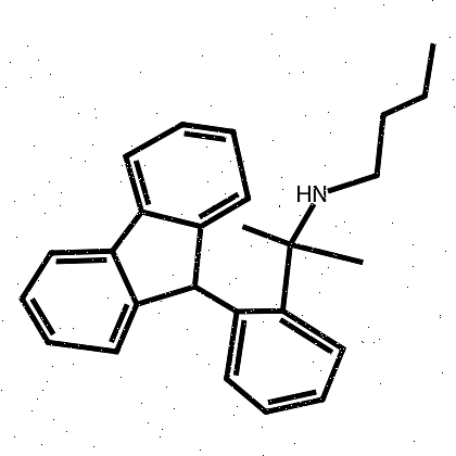 CCCCNC(C)(C)c1ccccc1C1c2ccccc2-c2ccccc21